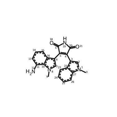 Cn1cc(C2=C(c3cn(C)c4c(N)cccc34)C(=O)NC2=O)c2ccccc21